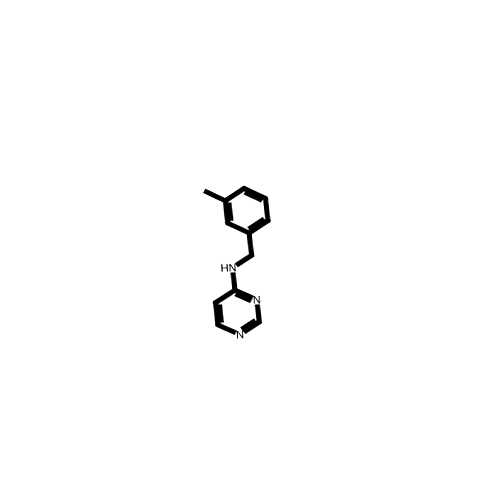 Cc1cccc(CNc2ccncn2)c1